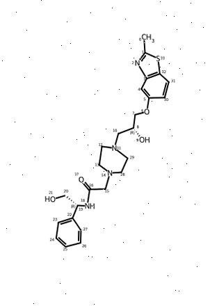 Cc1nc2cc(OC[C@H](O)CN3CCN(CC(=O)N[C@@H](CO)c4ccccc4)CC3)ccc2s1